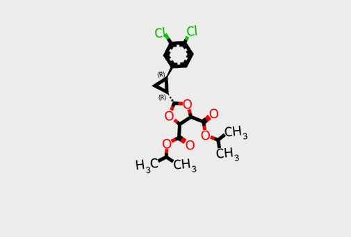 CC(C)OC(=O)C1OC([C@@H]2C[C@H]2c2ccc(Cl)c(Cl)c2)OC1C(=O)OC(C)C